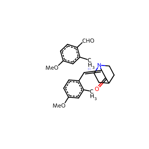 COc1ccc(/C=C2\C(=O)C3CCN2CC3)c(C)c1.COc1ccc(C=O)c(C)c1